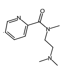 CN(C)CCN(C)C(=O)c1cc[c]cn1